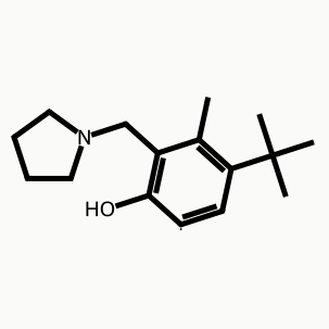 Cc1c(C(C)(C)C)c[c]c(O)c1CN1CCCC1